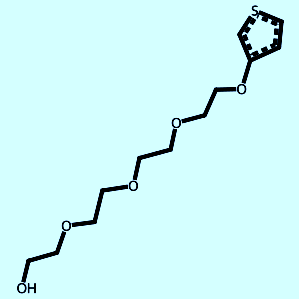 OCCOCCOCCOCCOc1ccsc1